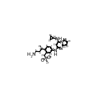 C[C@H](CCN)c1ccc(Nc2cc(NC3CC3)n3nccc3n2)cc1CS(C)(=O)=O